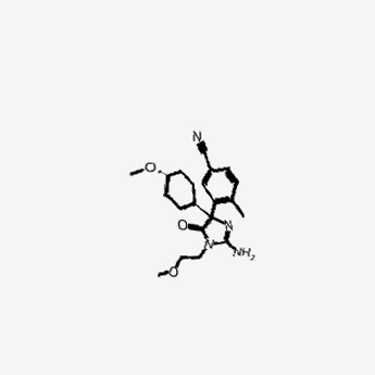 COCCN1C(=O)C(c2cc(C#N)ccc2C)([C@H]2CC[C@H](OC)CC2)N=C1N